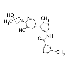 Cc1cccc(C(=O)Nc2ccc(C)c(-c3cnc(N4CC(C)(O)C4)c(C#N)c3)c2)c1